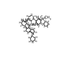 CC1(C)c2ccccc2-c2ccc(C3=CC=CN(N)C3[C@@H](N)n3c4ccccc4c4ccc5c(ccn5-c5ccccc5)c43)cc21